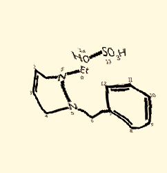 CCN1C=CCN1Cc1ccccc1.O=S(=O)(O)O